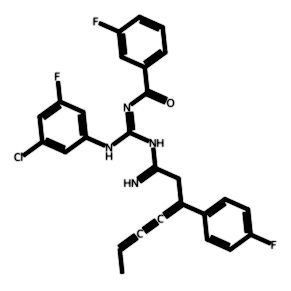 CC=C=C=C(CC(=N)N/C(=N\C(=O)c1cccc(F)c1)Nc1cc(F)cc(Cl)c1)c1ccc(F)cc1